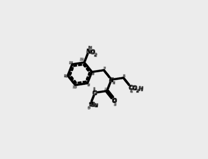 CC(C)(C)OC(=O)N(CC(=O)O)Cc1ccccc1[N+](=O)[O-]